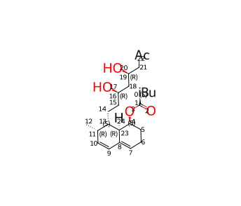 CC[C@H](C)C(=O)O[C@H]1CCC=C2C=C[C@H](C)[C@H](CC[C@@H](O)C[C@@H](O)CC(C)=O)[C@H]21